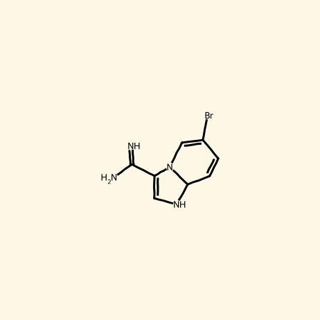 N=C(N)C1=CNC2C=CC(Br)=CN12